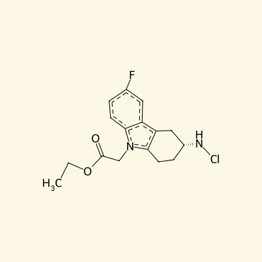 CCOC(=O)Cn1c2c(c3cc(F)ccc31)C[C@H](NCl)CC2